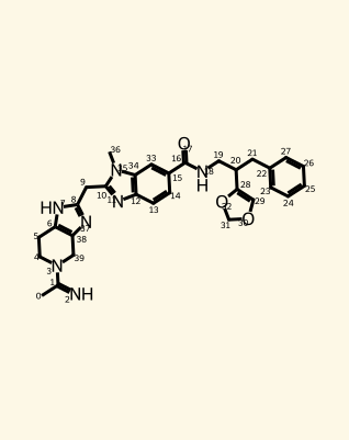 CC(=N)N1CCc2[nH]c(Cc3nc4ccc(C(=O)NCC(Cc5ccccc5)C5=COCO5)cc4n3C)nc2C1